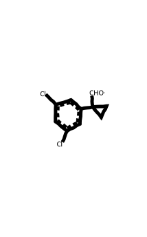 O=[C]C1(c2cc(Cl)cc(Cl)c2)CC1